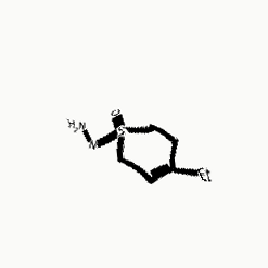 CCC1=CCS(=O)(=NN)CC1